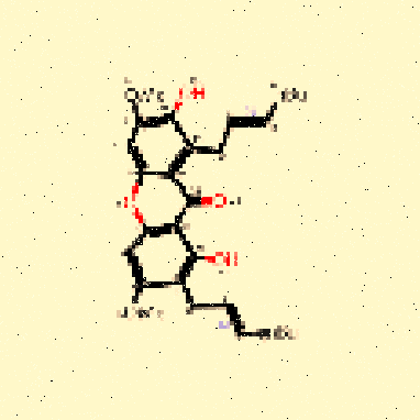 CCCC/C=C/Cc1c(OC)cc2oc3cc(OC)c(O)c(C/C=C/CCCC)c3c(=O)c2c1O